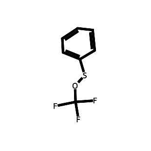 FC(F)(F)OSc1ccccc1